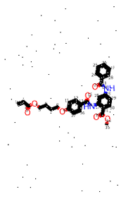 C=CC(=O)OCCCCOc1ccc(C(=O)Nc2cc(NC(=O)c3ccccc3)ccc2C(=O)OC)cc1